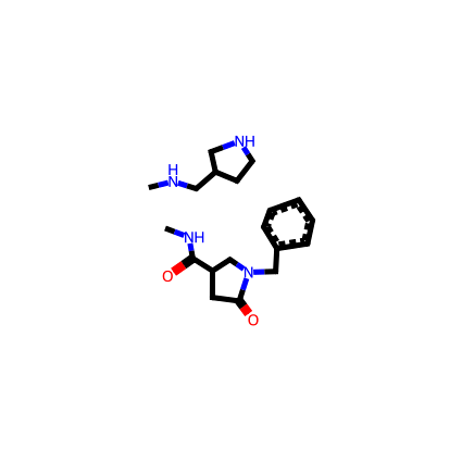 CNC(=O)C1CC(=O)N(Cc2ccccc2)C1.CNCC1CCNC1